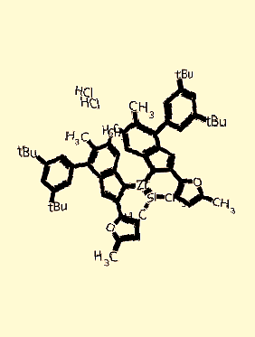 Cc1ccc(C2=Cc3c(cc(C)c(C)c3-c3cc(C(C)(C)C)cc(C(C)(C)C)c3)[CH]2[Zr]([CH]2C(c3ccc(C)o3)=Cc3c2cc(C)c(C)c3-c2cc(C(C)(C)C)cc(C(C)(C)C)c2)=[Si](C)C)o1.Cl.Cl